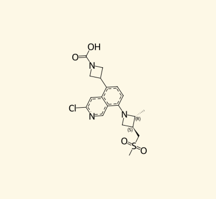 C[C@@H]1[C@@H](CS(C)(=O)=O)CN1c1ccc(C2CN(C(=O)O)C2)c2cc(Cl)ncc12